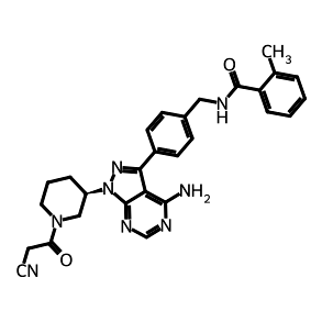 Cc1ccccc1C(=O)NCc1ccc(-c2nn([C@@H]3CCCN(C(=O)CC#N)C3)c3ncnc(N)c23)cc1